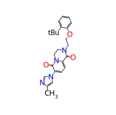 Cc1cn(-c2ccc3n(c2=O)CCN(CCOc2ccccc2C(C)(C)C)C3=O)cn1